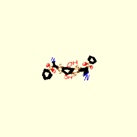 N#CC(=C1Sc2c(O)c3c(c(O)c2S1)SC(=C(C#N)S(=O)(=O)c1ccccc1)S3)S(=O)(=O)c1ccccc1